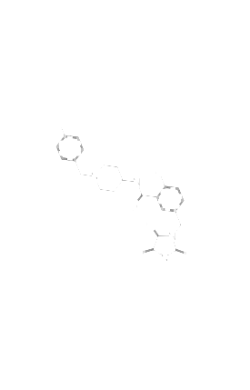 COc1ccc(CN2C(=O)NC(=O)C2=O)cc1C(=O)NC1CCN(Cc2ccc(F)cc2)CC1